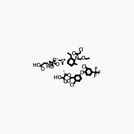 CCOCN(C(=O)CCl)c1c(C)cccc1CC.C[C@H](OC(=O)c1cc(Oc2ccc(C(F)(F)F)cc2Cl)ccc1Cl)C(=O)O.C[S+](C)C.O=C(O)CNCP(=O)([O-])O